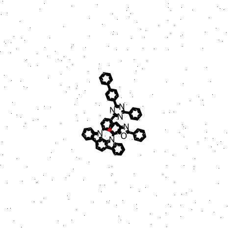 c1ccc(-c2ccc(-c3nc(-c4ccccc4)nc(-c4ccc(-n5c6ccccc6c6ccc7c8ccccc8n(-c8cccc9nc(-c%10ccccc%10)oc89)c7c65)cc4)n3)cc2)cc1